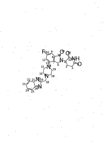 O=C1CCC(N2Cc3c(cc(F)cc3N3CCN(CC4=NC5C=CC=CC5=N4)CC3)C2=O)C(=O)N1